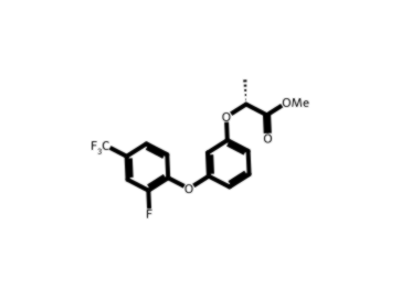 COC(=O)[C@@H](C)Oc1cccc(Oc2ccc(C(F)(F)F)cc2F)c1